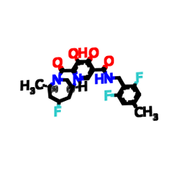 Cc1cc(F)c(CNC(=O)c2cn3c(c(O)c2=O)C(=O)N2C[C@@H]3CC(F)C[C@@H]2C)c(F)c1